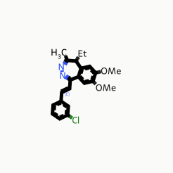 CCC1C(C)=NN=C(/C=C/c2cccc(Cl)c2)c2cc(OC)c(OC)cc21